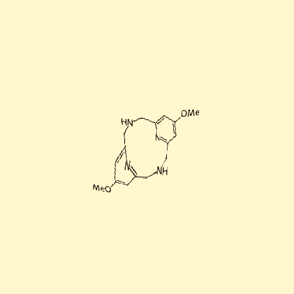 COc1cc2nc(c1)CNCc1cc(OC)cc(n1)CNC2